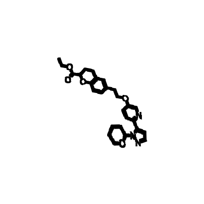 CCOC(=O)C1CCc2cc(CCOc3ccc(-c4ccnn4C4CCCCO4)nc3)ccc2O1